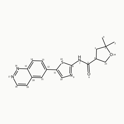 CC1(C)CC(C(=O)Nc2ncc(-c3ccc4nnccc4c3)s2)CO1